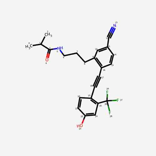 CC(C)C(=O)NCCCc1cc(C#N)ccc1C#Cc1ccc(O)cc1C(F)(F)F